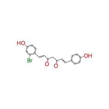 O=C(C=Cc1ccc(O)cc1)CC(=O)C=Cc1ccc(O)cc1Br